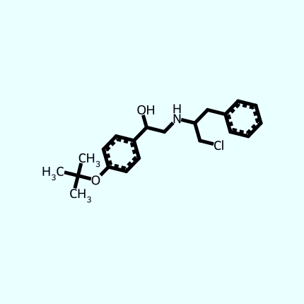 CC(C)(C)Oc1ccc(C(O)CNC(CCl)Cc2ccccc2)cc1